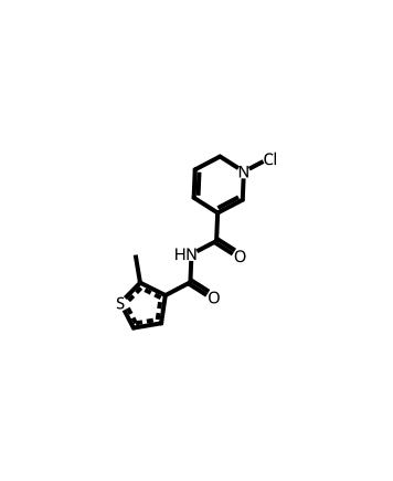 Cc1sccc1C(=O)NC(=O)C1=CN(Cl)CC=C1